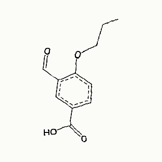 CCCOc1ccc(C(=O)O)cc1C=O